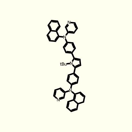 CC(C)(C)n1c(-c2ccc(N(C3=C4C=CC=CC4CC=C3)c3cccnc3)cc2)ccc1-c1ccc(N(c2cccnc2)c2cccc3ccccc23)cc1